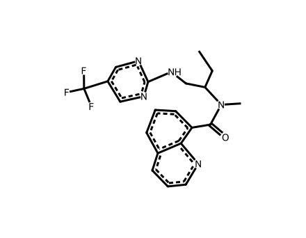 CCC(CNc1ncc(C(F)(F)F)cn1)N(C)C(=O)c1cccc2cccnc12